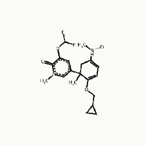 CC[Si@@H](C)C1=CC=C(OCC2CC2)C(C)(c2cc(OC(F)F)c(=O)n(C)c2)C1